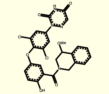 COC1CN(C(=O)c2cc(Oc3c(Cl)cc(-n4ncc(=O)[nH]c4=O)cc3Cl)ccc2O)Cc2ccccc21